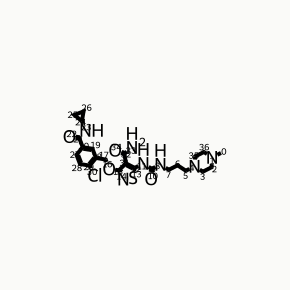 CN1CCN(CCCNC(=O)Nc2snc(OCc3cc(C(=O)NC4CC4)ccc3Cl)c2C(N)=O)CC1